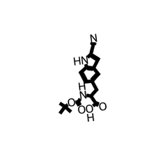 CC(C)(C)OC(=O)NC(Cc1ccc2[nH]c(C#N)cc2c1)C(=O)O